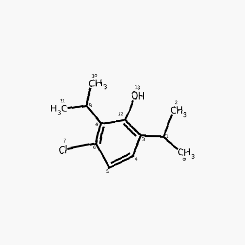 CC(C)c1ccc(Cl)c(C(C)C)c1O